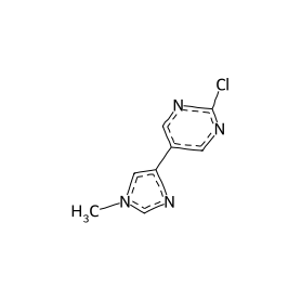 Cn1cnc(-c2cnc(Cl)nc2)c1